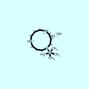 Cl.Cl.[CH3][Ti]([CH3])([CH3])([CH3])[N]1CCCNCCCNCCC1